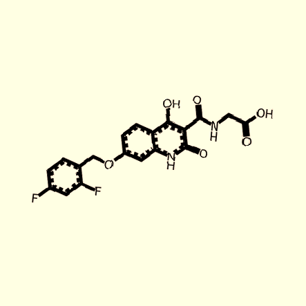 O=C(O)CNC(=O)c1c(O)c2ccc(OCc3ccc(F)cc3F)cc2[nH]c1=O